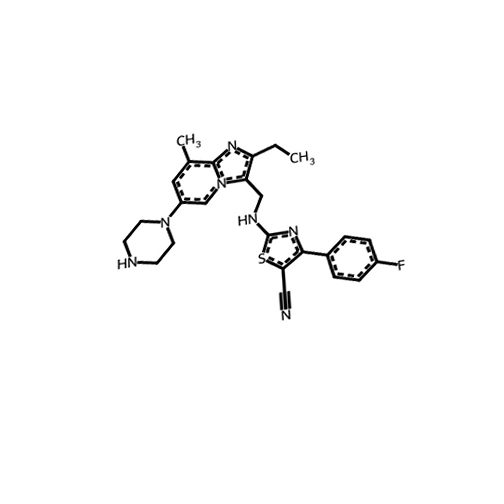 CCc1nc2c(C)cc(N3CCNCC3)cn2c1CNc1nc(-c2ccc(F)cc2)c(C#N)s1